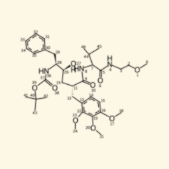 COCCNC(=O)C(NC(=O)[C@H](Cc1ccc(OC)c(OC)c1OC)C[C@H](O)[C@H](Cc1ccccc1)NC(=O)OC(C)(C)C)C(C)C